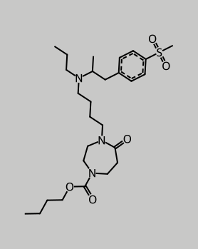 CCCCOC(=O)N1CCC(=O)N(CCCCN(CCC)C(C)Cc2ccc(S(C)(=O)=O)cc2)CC1